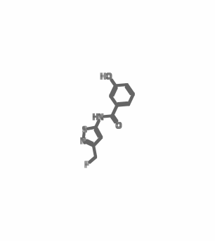 O=C(Nc1cc(CF)ns1)c1cccc(O)c1